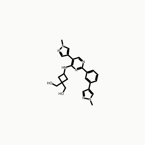 Cn1cc(-c2cccc(-c3ncc(-c4cnn(C)c4)c(NC4CC(CO)(CO)C4)n3)c2)cn1